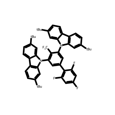 CC(C)(C)c1ccc2c3ccc(C(C)(C)C)cc3n(-c3cc(-c4c(F)cc(F)cc4F)cc(-n4c5cc(C(C)(C)C)ccc5c5ccc(C(C)(C)C)cc54)c3C(F)(F)F)c2c1